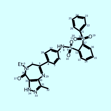 CCN1CC(c2ccc(NS(=O)(=O)c3ccccc3S(=O)(=O)c3ccccc3)cc2)=Nc2c(C)n[nH]c2C1=O